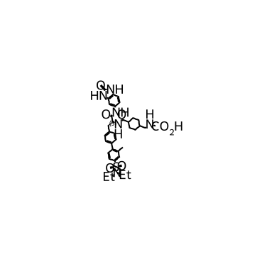 CCN(CC)S(=O)(=O)c1ccc(-c2ccc(C[C@H](NC(=O)C3CCC(CNC(=O)O)CC3)C(=O)Nc3ccc4[nH]c(=O)[nH]c4c3)cc2)c(C)c1